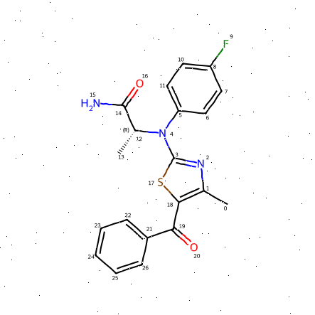 Cc1nc(N(c2ccc(F)cc2)[C@H](C)C(N)=O)sc1C(=O)c1ccccc1